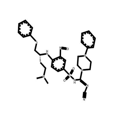 CN(C)CC[C@H](CSc1ccccc1)Nc1ccc(S(=O)(=O)N/C(=N\C#N)N2CCN(c3ccccc3)CC2)cc1N=O